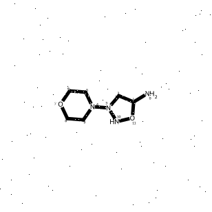 NC1CN(N2CCOCC2)NO1